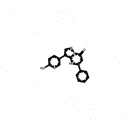 O=c1cc(-c2ccccc2)[nH]c2c(-c3ccc(O)nc3)cnn12